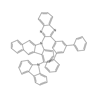 c1ccc(-c2cc(-c3ccccc3)cc(-c3nc4ccccc4nc3-n3c4cc5ccccc5cc4c4c(-n5c6ccccc6c6ccccc65)cccc43)c2)cc1